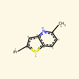 Cc1ccc2sc(C(C)C)cc2n1